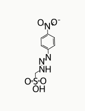 O=[N+]([O-])c1ccc(N=NNCS(=O)(=O)O)cc1